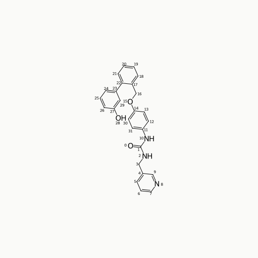 O=C(NCc1cccnc1)Nc1ccc(OCc2ccccc2-c2cccc(O)c2)cc1